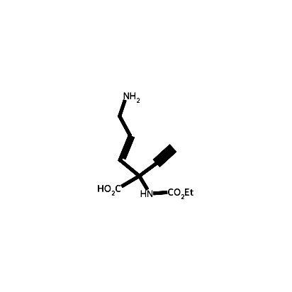 C#CC(C=CCN)(NC(=O)OCC)C(=O)O